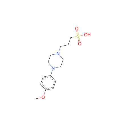 COc1ccc(N2CCN(CCCS(=O)(=O)O)CC2)cc1